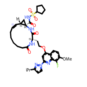 COc1ccc2c(OCC[C@@H]3NC(=O)CCCCC/C=C\[C@@H]4C[C@@]4(C(=O)NS(=O)(=O)C4CCCC4)NC3=O)cc(-n3ccc(C(C)C)n3)nc2c1F